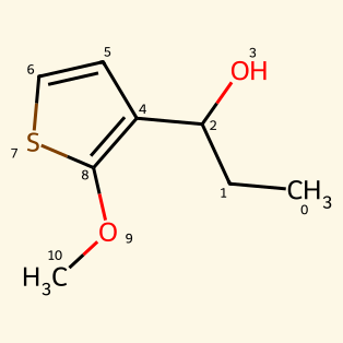 CCC(O)c1ccsc1OC